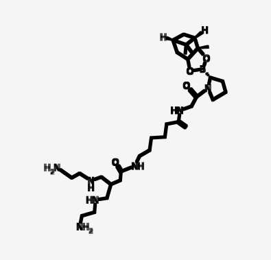 C=C(CCCCCNC(=O)CC(CNCCN)CNCCN)NCC(=O)N1CCC[C@H]1B1OC2C[C@@H]3C[C@@H](C3(C)C)[C@]2(C)O1